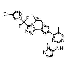 Cc1cnc(Nc2ccnn2C)nc1-c1cc2n(c1)C[C@H](C)n1c-2nnc1C(F)(F)n1cc(Cl)cn1